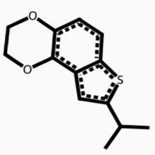 CC(C)c1cc2c3c(ccc2s1)OCCO3